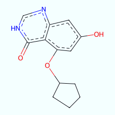 O=c1[nH]cnc2cc(O)cc(OC3CCCC3)c12